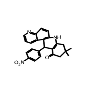 CC1(C)CC(=O)C2=C(C1)Nc1ccc3ncccc3c1C2c1ccc([N+](=O)[O-])cc1